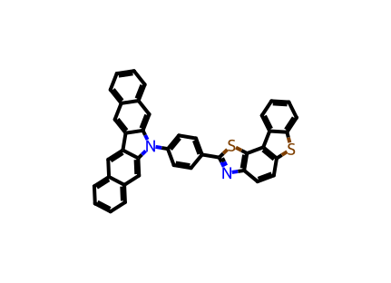 c1ccc2cc3c(cc2c1)c1cc2ccccc2cc1n3-c1ccc(-c2nc3ccc4sc5ccccc5c4c3s2)cc1